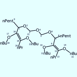 CCCCCC(OCOCOC(CCCCC)C(OCCCC)=C(CCC)OCCCC)C(OCCCC)=C(CCC)OCCCC